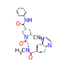 CN(CC(=O)N1CC(C(=O)Nc2ccccc2)CC1C#N)C(=O)c1ccc2nccnc2c1